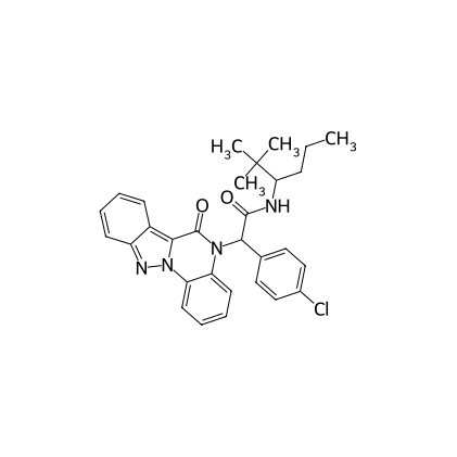 CCCC(NC(=O)C(c1ccc(Cl)cc1)n1c(=O)c2c3ccccc3nn2c2ccccc21)C(C)(C)C